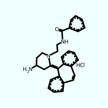 Cl.NC1CCN(CCNC(=O)c2ccccc2)C(=C2c3ccccc3C=Cc3ccccc32)C1